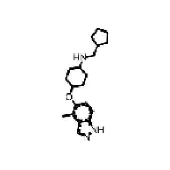 Cc1c(OC2CCC(NCC3CCCC3)CC2)ccc2[nH]ncc12